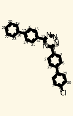 Clc1ccc(-c2ccc(-c3nnnc(-c4ccc(-c5ccccc5)cc4)n3)cc2)cc1